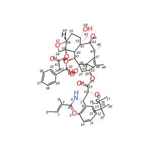 C/C=C(\C)C(=O)N[C@@H](c1ccccc1)[C@@H](O[Si](C)(C)C(C)(C)C)C(=O)O[C@H]1C[C@@]2(O)[C@@H](OC(=O)c3ccccc3)C3[C@](C)(C(=O)[C@H](C)C(=C1C)C2(C)C)[C@@H](O)C[C@H]1OC[C@@]31OC(C)=O